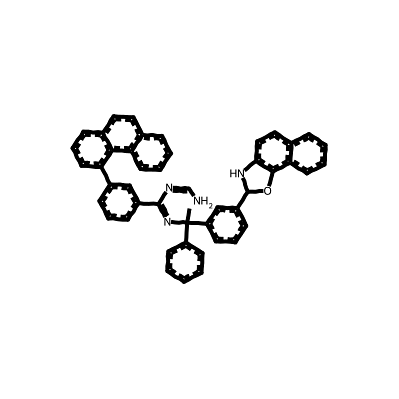 CC(/N=C(\N=C/N)c1cccc(-c2cccc3ccc4ccccc4c23)c1)(c1ccccc1)c1cccc(C2Nc3ccc4ccccc4c3O2)c1